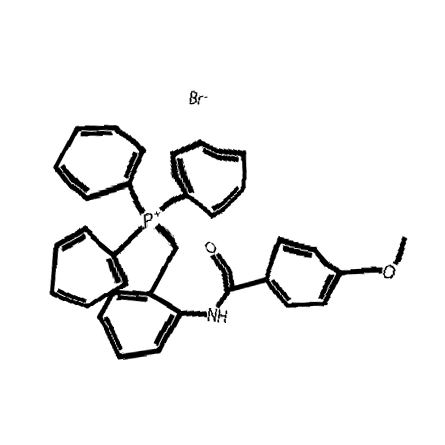 COc1ccc(C(=O)Nc2ccccc2C[P+](c2ccccc2)(c2ccccc2)c2ccccc2)cc1.[Br-]